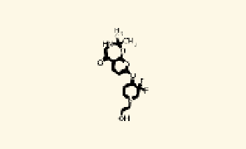 CC1(C)NCC(=O)C2CC=C(OC3CCN(CCO)CC3(F)F)N=C2O1